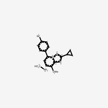 COc1ccc(-c2ccc(C#N)cc2)n2nc(C3CC3)nc12.NC(=O)O